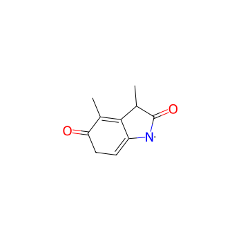 CC1=C2C(=CCC1=O)[N]C(=O)C2C